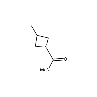 [CH2]C1CN(C(=O)NC)C1